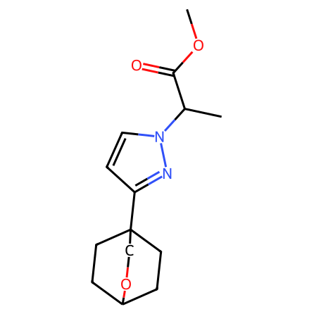 COC(=O)C(C)n1ccc(C23CCC(CC2)OC3)n1